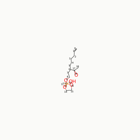 C=CCCCCC(CCOP1(C)(O)OCCO1)C(C)=O